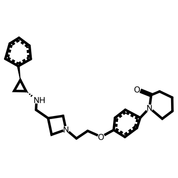 O=C1CCCCN1c1ccc(OCCN2CC(CN[C@@H]3C[C@H]3c3ccccc3)C2)cc1